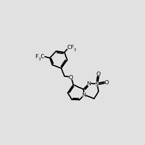 O=S1(=O)CCN2C=CC=C(OCc3cc(C(F)(F)F)cc(C(F)(F)F)c3)C2=N1